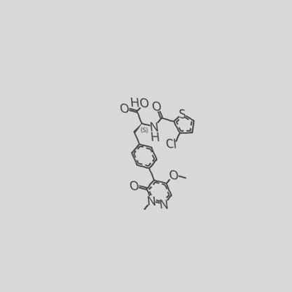 COc1cnn(C)c(=O)c1-c1ccc(C[C@H](NC(=O)c2sccc2Cl)C(=O)O)cc1